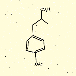 CC(=O)Oc1ccc(CC(C)C(=O)O)cc1